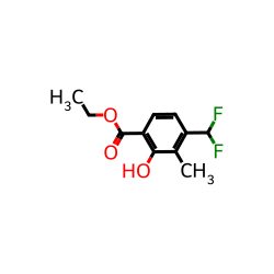 CCOC(=O)c1ccc(C(F)F)c(C)c1O